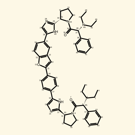 CCC(CC)[C@@H](C(=O)N1CCC[C@H]1c1ncc(-c2ccc(-c3cc4cc(-c5cnc([C@@H]6CCCN6C(=O)[C@@H](c6ccccc6)N(CC)CC)[nH]5)ccc4o3)cc2)[nH]1)c1ccccc1